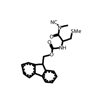 CSCC(NC(=O)OCC1c2ccccc2-c2ccccc21)C(=O)N(C)C#N